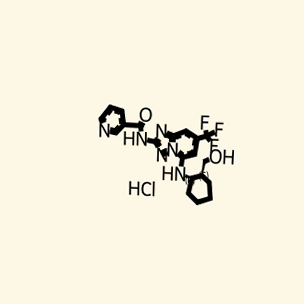 Cl.O=C(Nc1nc2cc(C(F)(F)F)cc(N[C@@H]3CCCC[C@@H]3CO)n2n1)c1cccnc1